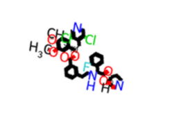 COc1ccc([C@H](Cc2c(Cl)cncc2Cl)OC(=O)c2cccc(CCNC(C(=O)O[C@H]3CN4CCC3CC4)c3ccccc3F)c2)cc1OC